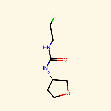 O=C(NCCCl)N[C@H]1CCOC1